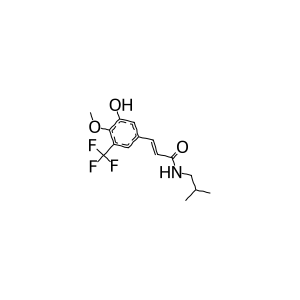 COc1c(O)cc(C=CC(=O)NCC(C)C)cc1C(F)(F)F